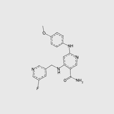 COc1ccc(Nc2cc(NCc3cncc(F)c3)c(C(N)=O)cn2)cc1